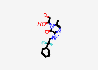 Cc1cnc(NCC(F)(F)c2ccccc2)c(=O)n1C(O)C=O